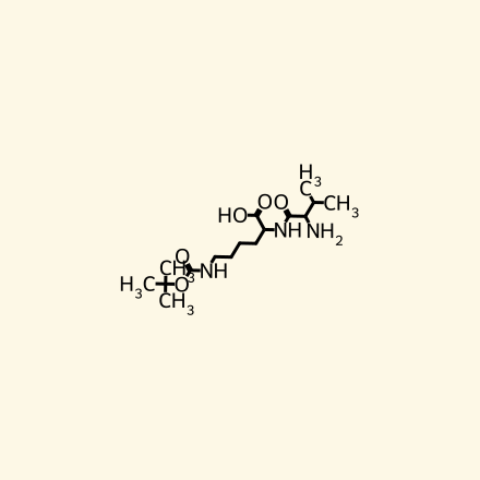 CC(C)C(N)C(=O)NC(CCCCNC(=O)OC(C)(C)C)C(=O)O